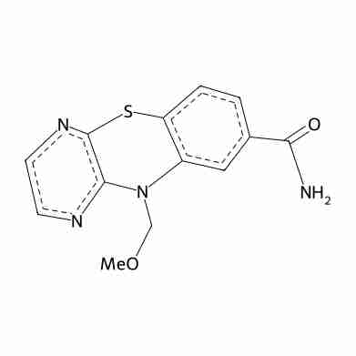 COCN1c2cc(C(N)=O)ccc2Sc2nccnc21